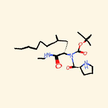 CCCCCCC(C)C[C@@H](C(=O)NCC)N(C(=O)OC(C)(C)C)C(=O)[C@@H]1CCCN1